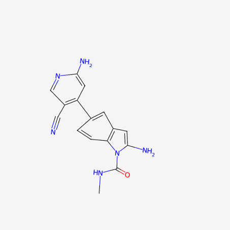 CNC(=O)n1c(N)cc2cc(-c3cc(N)ncc3C#N)ccc21